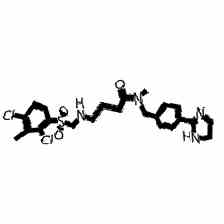 Cc1c(Cl)ccc(S(=O)(=O)CNCCCC(=O)N(C)Cc2ccc(C3=NCCN3)cc2)c1Cl